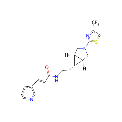 O=C(/C=C/c1cccnc1)NCC[C@@H]1[C@H]2CN(c3nc(C(F)(F)F)cs3)C[C@@H]12